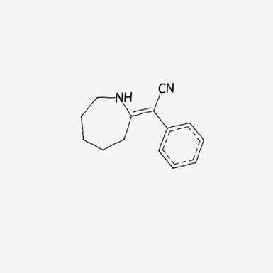 N#C/C(=C1/CCCCCN1)c1ccccc1